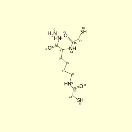 NNC(=O)C(CCCCNC(=O)CS)NC(=O)CS